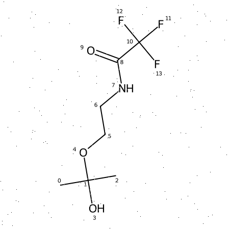 CC(C)(O)OCCNC(=O)C(F)(F)F